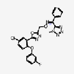 Cn1nnnc1/C(=N\OCc1nnc(-c2cc(Cl)ccc2Oc2cccc(F)c2)o1)c1ccccc1